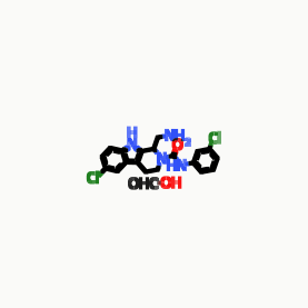 NCC1c2[nH]c3ccc(Cl)cc3c2CCN1C(=O)Nc1cccc(Cl)c1.O=CO